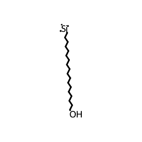 C[Si](C)(C)CCCCCCCCCCCCCCCCCCO